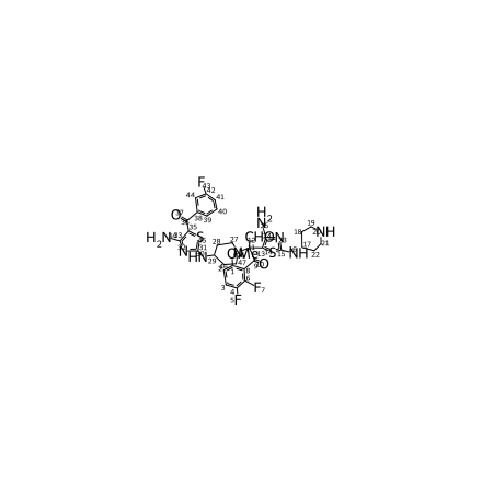 COc1ccc(F)c(F)c1C(=O)C(C=O)(c1sc(NC2CCNCC2)nc1N)N1CCC(Nc2nc(N)c(C(=O)c3cccc(F)c3)s2)CC1